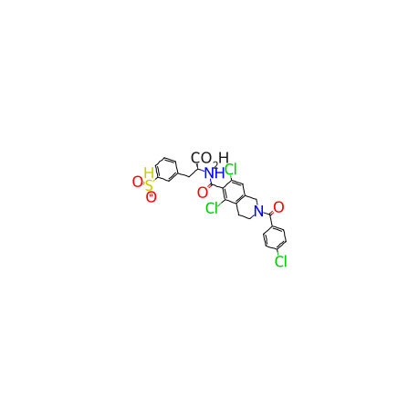 O=C(N[C@@H](Cc1cccc([SH](=O)=O)c1)C(=O)O)c1c(Cl)cc2c(c1Cl)CCN(C(=O)c1ccc(Cl)cc1)C2